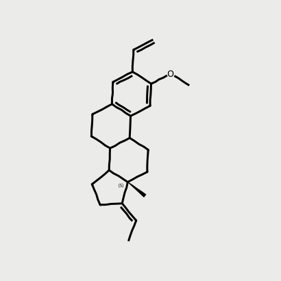 C=Cc1cc2c(cc1OC)C1CC[C@]3(C)C(=CC)CCC3C1CC2